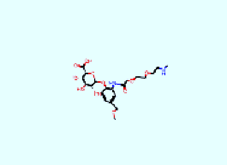 CNCCOCCOCC(=O)Nc1cc(COC)ccc1O[C@@H]1O[C@H](C(=O)O)[C@@H](O)[C@H](O)[C@H]1O